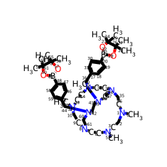 CN1CCN(C)CCN2CCN(C)CCN(Cc3ccc(B4OC(C)(C)C(C)(C)O4)cc3)CCN(CC1)CCN(C)CCN(Cc1ccc(B3OC(C)(C)C(C)(C)O3)cc1)CC2